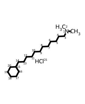 CN(C)CCCCCCCCCCCCC1CCCCC1.Cl